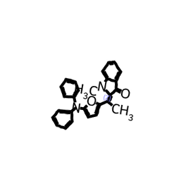 C/C(=C1\C(=O)c2ccccc2N1C)c1ccc(N(c2ccccc2)c2ccccc2)o1